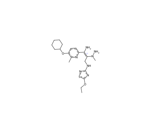 CCOc1nc(NC/C(=C(/N)c2ccc(OC3CCCCC3)c(C)n2)N(C)N)ns1